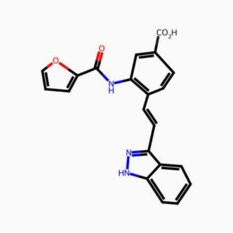 O=C(O)c1ccc(C=Cc2n[nH]c3ccccc23)c(NC(=O)c2ccco2)c1